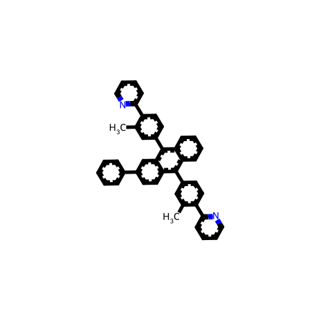 Cc1cc(-c2c3ccccc3c(-c3ccc(-c4ccccn4)c(C)c3)c3cc(-c4ccccc4)ccc23)ccc1-c1ccccn1